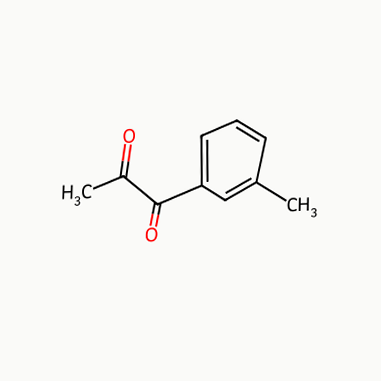 CC(=O)C(=O)c1cccc(C)c1